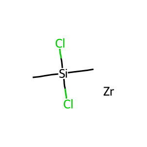 C[Si](C)(Cl)Cl.[Zr]